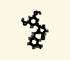 COc1cc(OC)cc(C2SCC(=O)N2Cc2cccc(F)c2)c1